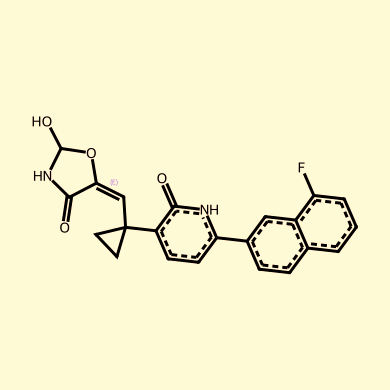 O=C1NC(O)O/C1=C/C1(c2ccc(-c3ccc4cccc(F)c4c3)[nH]c2=O)CC1